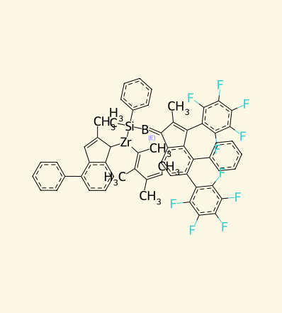 CC=C(C)C(C)=[C](C)[Zr]([CH]1C(C)=Cc2c(-c3ccccc3)cccc21)[Si](C)(/B=C1/C(C)=C(c2c(F)c(F)c(F)c(F)c2F)c2c1ccc(-c1c(F)c(F)c(F)c(F)c1F)c2-c1ccccc1)c1ccccc1